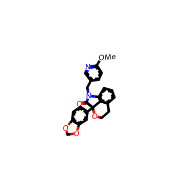 COc1ccc(CN2C(=O)C3(c4ccc5c(c4)OCO5)OCCc4cccc2c43)cn1